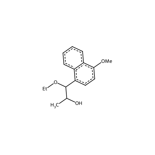 CCOC(c1ccc(OC)c2ccccc12)C(C)O